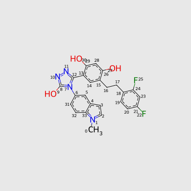 Cn1ccc2cc(-n3c(O)nnc3-c3cc(CCc4ccc(F)cc4F)c(O)cc3O)ccc21